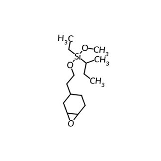 CCC(C)[Si](CC)(OC)OCCC1CCC2OC2C1